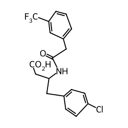 O=C(O)CC(Cc1ccc(Cl)cc1)NC(=O)Cc1cccc(C(F)(F)F)c1